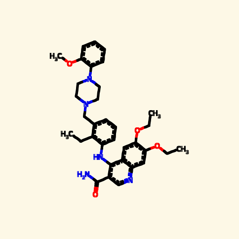 CCOc1cc2ncc(C(N)=O)c(Nc3cccc(CN4CCN(c5ccccc5OC)CC4)c3CC)c2cc1OCC